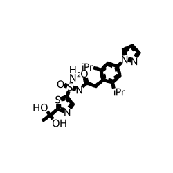 CC(C)c1cc(-n2cccn2)cc(C(C)C)c1CC(=O)N=S(N)(=O)c1cnc(C(C)(O)O)s1